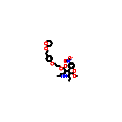 CCCC1=C(C(=O)OCCCOc2ccc(CCOC3CCCCO3)cc2)C(c2cccc([N+](=O)[O-])c2)C(C(=O)OC)=C(CC)N1